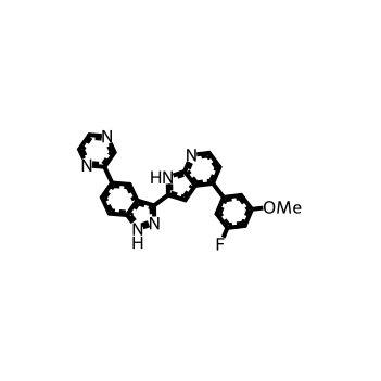 COc1cc(F)cc(-c2ccnc3[nH]c(-c4n[nH]c5ccc(-c6cnccn6)cc45)cc23)c1